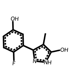 Cc1c(-c2cc(O)ccc2F)n[nH]c1O